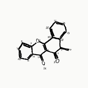 C=C1C(=O)c2c(oc3ccccc3c2=O)-c2ccccc21